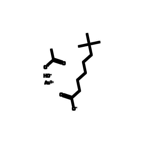 CC(=O)[O-].CC(C)(C)CCCCCC(=O)[O-].[Au+3].[OH-]